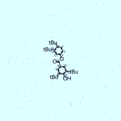 CC(C)(C)c1ccc(OC(=O)c2cc(C(C)(C)C)c(O)c(C(C)(C)C)c2)cc1C(C)(C)C